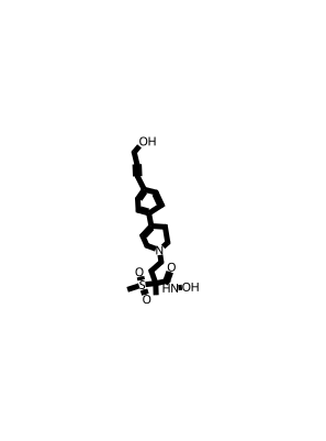 CC(CCN1CC=C(c2ccc(C#CCO)cc2)CC1)(C(=O)NO)S(C)(=O)=O